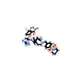 CC(C)N(C(=O)c1cc(F)ccc1Oc1cncnc1N1CC2(CCN(Cc3ccc(S(=O)(=O)N4CCCCC4)cc3)CC2)C1)C(C)C